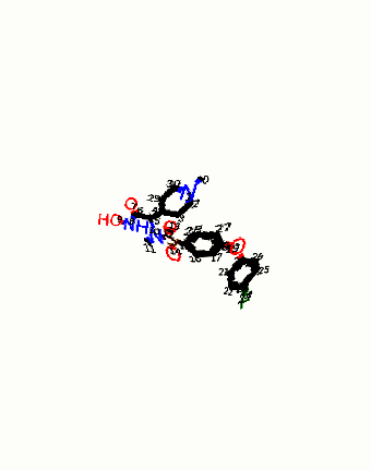 CN1CCC([C@H](C(=O)NO)N(C)S(=O)(=O)c2ccc(Oc3ccc(F)cc3)cc2)CC1